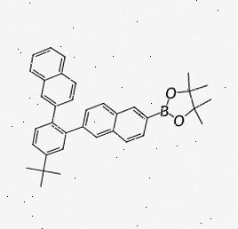 CC(C)(C)c1ccc(-c2ccc3ccccc3c2)c(-c2ccc3cc(B4OC(C)(C)C(C)(C)O4)ccc3c2)c1